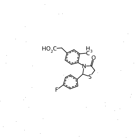 Cc1cc(CC(=O)O)ccc1N1C(=O)CSC1c1ccc(F)cc1